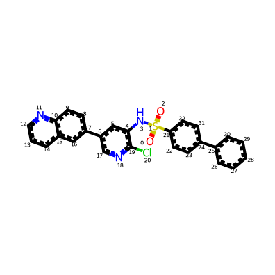 O=S(=O)(Nc1cc(-c2ccc3ncccc3c2)cnc1Cl)c1ccc(-c2ccccc2)cc1